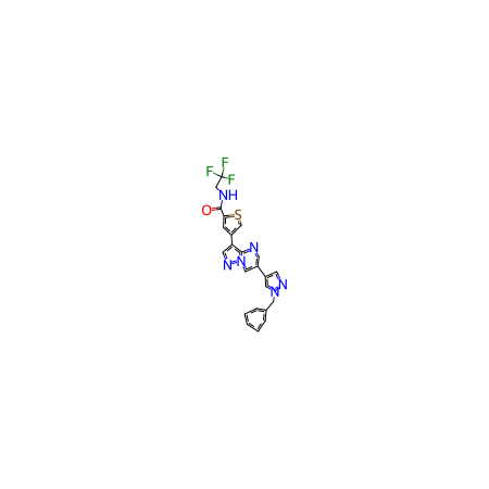 O=C(NCC(F)(F)F)c1cc(-c2cnn3cc(-c4cnn(Cc5ccccc5)c4)cnc23)cs1